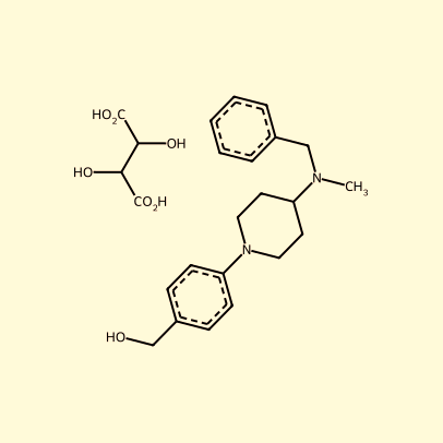 CN(Cc1ccccc1)C1CCN(c2ccc(CO)cc2)CC1.O=C(O)C(O)C(O)C(=O)O